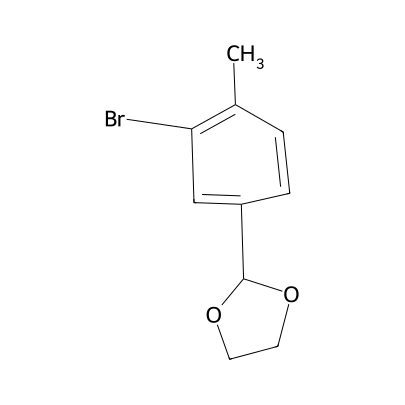 Cc1ccc(C2OCCO2)cc1Br